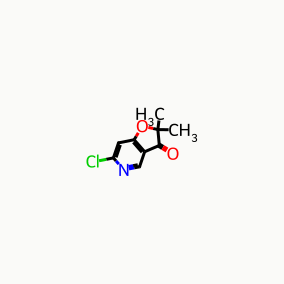 CC1(C)Oc2cc(Cl)ncc2C1=O